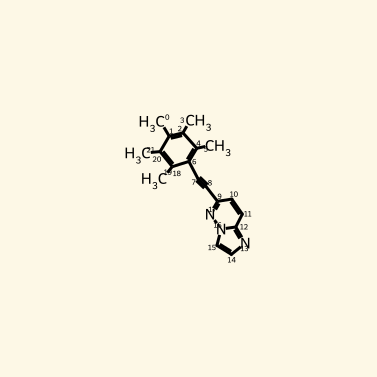 Cc1c(C)c(C)c(C#Cc2ccc3nccn3n2)c(C)c1C